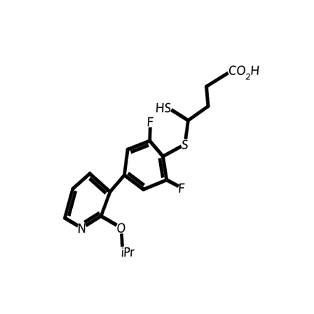 CC(C)Oc1ncccc1-c1cc(F)c(SC(S)CCC(=O)O)c(F)c1